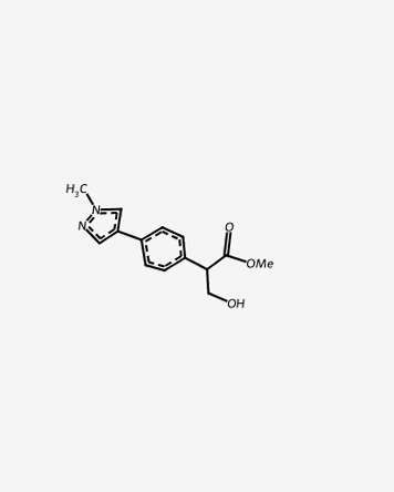 COC(=O)C(CO)c1ccc(-c2cnn(C)c2)cc1